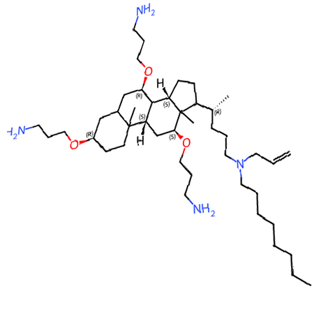 C=CCN(CCCCCCCC)CCC[C@@H](C)C1CC[C@H]2C3[C@H](OCCCN)CC4C[C@H](OCCCN)CCC4(C)[C@H]3C[C@H](OCCCN)C12C